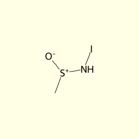 C[S+]([O-])NI